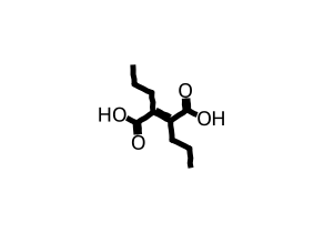 CCC/C(C(=O)O)=C(/CCC)C(=O)O